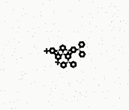 CC(C)(C)c1ccc2c(c1)c1cc(C(C)(C)C)cc3c1n2-c1cccc2c1B3c1cc(N(c3ccccc3)c3ccccc3)cc3c4cc(N(c5ccccc5)c5ccccc5)ccc4n-2c13